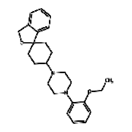 CCOc1ccccc1N1CCN(C2CCC3(CC2)OCc2ccccc23)CC1